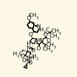 C=C[C@@](CC)(NC(=O)[C@@H]1C[C@@H](Oc2ccnc3cc(OC)ccc23)CN1C(=O)[C@@H](NC(=O)OC(C)(C)C)C(C)C)C(=O)NS(=O)(=O)C1CC1